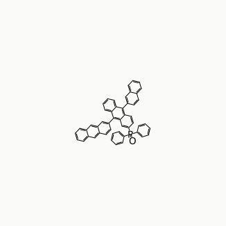 O=P(c1ccccc1)(c1ccccc1)c1ccc2c(-c3ccc4ccccc4c3)c3ccccc3c(-c3ccc4cc5ccccc5cc4c3)c2c1